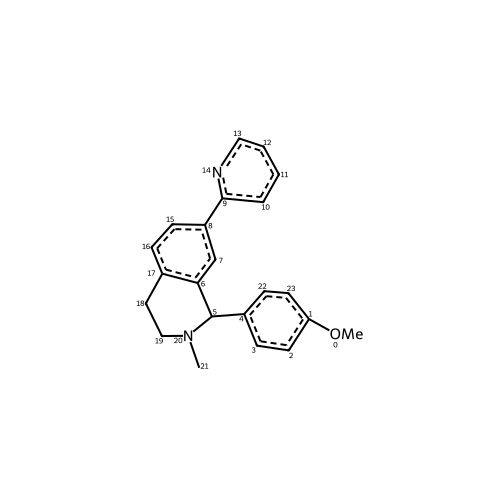 COc1ccc(C2c3cc(-c4ccccn4)ccc3CCN2C)cc1